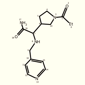 CCC(=O)N1CCC(C(NCc2ccncc2)C(N)=O)C1